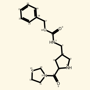 O=C(NCC1CNC(C(=O)N2CCSC2)C1)OCc1ccccc1